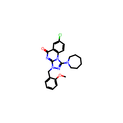 COc1ccccc1Cn1nc(N2CCCCCC2)n2c3ccc(Cl)cc3c(=O)nc12